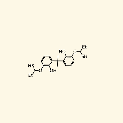 CCC(S)Oc1cccc(C(C)(C)c2cccc(OC(S)CC)c2O)c1O